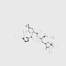 Cc1ccc(C(=O)N2CC3(CC3)CC2C(=O)NC(C#N)CC2CC(C)(C)NC2=O)[nH]1